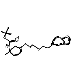 CC1(NC(=O)OC(C)(C)C)CCN(CCCOCCc2ccc3sccc3c2)C1